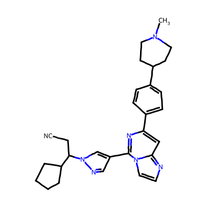 CN1CCC(c2ccc(-c3cc4nccn4c(-c4cnn(C(CC#N)C5CCCC5)c4)n3)cc2)CC1